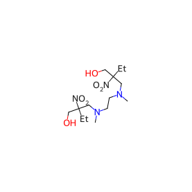 CCC(CO)(CN(C)CCN(C)CC(CC)(CO)[N+](=O)[O-])[N+](=O)[O-]